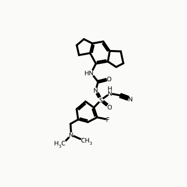 CN(C)Cc1ccc(S(=O)(=NC(=O)Nc2c3c(cc4c2CCC4)CCC3)NC#N)c(F)c1